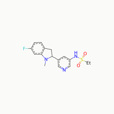 CCS(=O)(=O)Nc1cncc(C2Cc3ccc(F)cc3N2C)c1